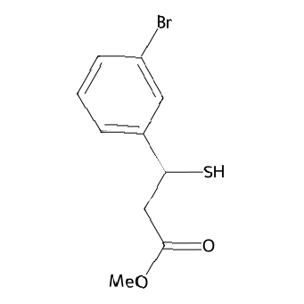 COC(=O)CC(S)c1cccc(Br)c1